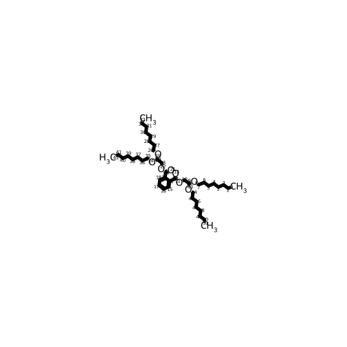 CCCCCCCCOC(COC(=O)c1ccccc1C(=O)OCC(OCCCCCCCC)OCCCCCCCC)OCCCCCCCC